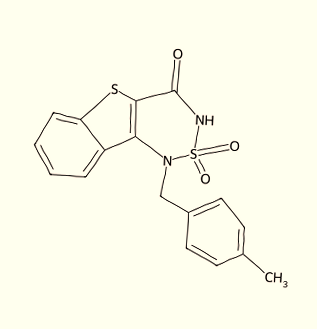 Cc1ccc(CN2c3c(sc4ccccc34)C(=O)NS2(=O)=O)cc1